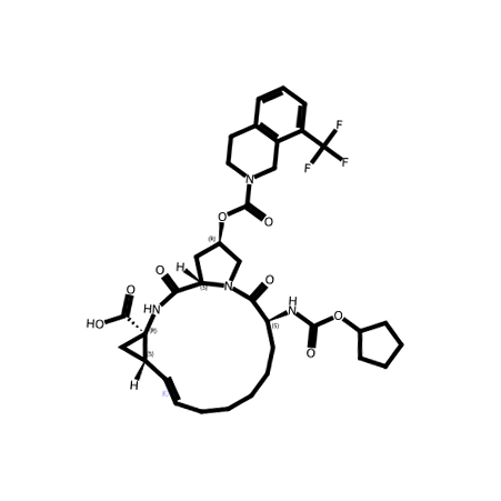 O=C(N[C@H]1CCCCC/C=C/[C@@H]2C[C@@]2(C(=O)O)NC(=O)[C@@H]2C[C@@H](OC(=O)N3CCc4cccc(C(F)(F)F)c4C3)CN2C1=O)OC1CCCC1